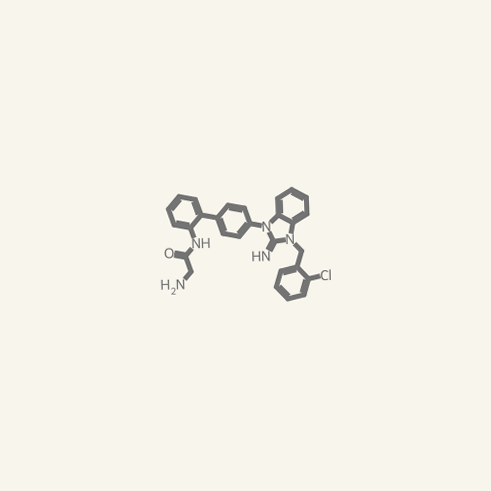 N=c1n(Cc2ccccc2Cl)c2ccccc2n1-c1ccc(-c2ccccc2NC(=O)CN)cc1